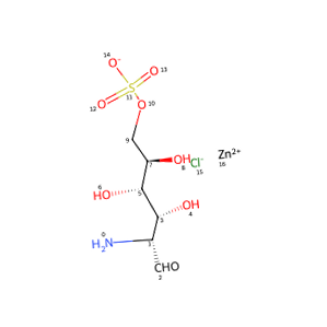 N[C@@H](C=O)[C@@H](O)[C@H](O)[C@H](O)COS(=O)(=O)[O-].[Cl-].[Zn+2]